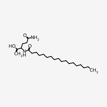 C=C(O)C(CCC(N)=O)NC(=O)CCCCCCCCCCCCCCCCC